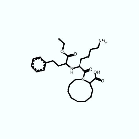 CCOC(=O)C(CCc1ccccc1)N[C@@H](CCCCN)C(=O)N1CCCCCCCCC1C(=O)O